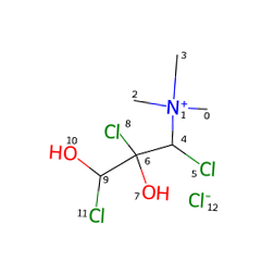 C[N+](C)(C)C(Cl)C(O)(Cl)C(O)Cl.[Cl-]